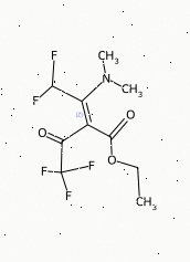 CCOC(=O)/C(C(=O)C(F)(F)F)=C(/C(F)F)N(C)C